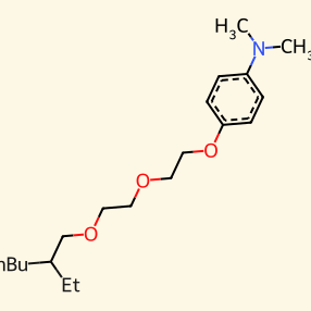 CCCCC(CC)COCCOCCOc1ccc(N(C)C)cc1